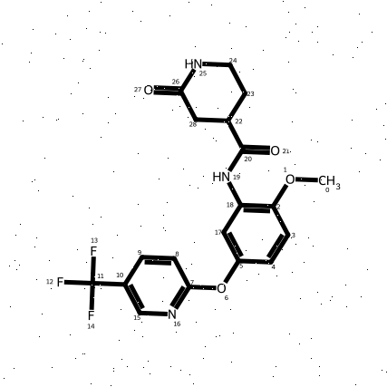 COc1ccc(Oc2ccc(C(F)(F)F)cn2)cc1NC(=O)C1CCNC(=O)C1